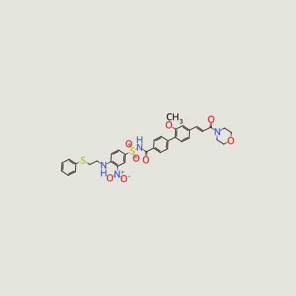 COc1cc(C=CC(=O)N2CCOCC2)ccc1-c1ccc(C(=O)NS(=O)(=O)c2ccc(NCCSc3ccccc3)c([N+](=O)[O-])c2)cc1